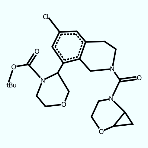 CC(C)(C)OC(=O)N1CCOCC1c1cc(Cl)cc2c1CN(C(=O)N1CCOC3CC31)CC2